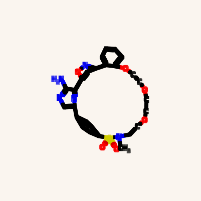 CN1CCOCCOCCOc2ccccc2-c2cc(on2)-c2nc(cnc2N)-c2ccc(cc2)S1(=O)=O